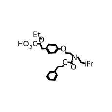 CCOC(Cc1ccc(OCCN(CCC(C)C)C(=O)OCCc2ccccc2)cc1)C(=O)O